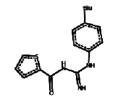 CC(C)(C)c1ccc(NC(=N)NC(=O)c2cccs2)cc1